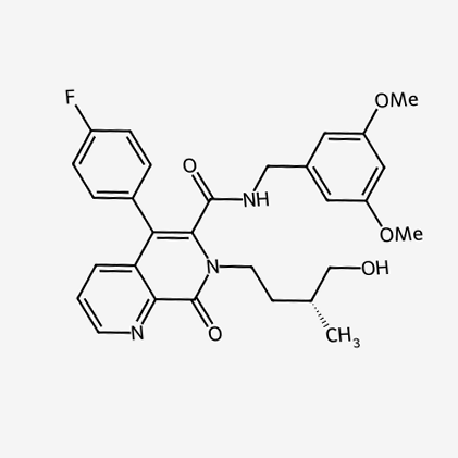 COc1cc(CNC(=O)c2c(-c3ccc(F)cc3)c3cccnc3c(=O)n2CC[C@@H](C)CO)cc(OC)c1